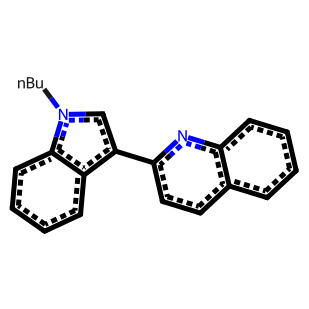 CCCCn1cc(-c2ccc3ccccc3n2)c2ccccc21